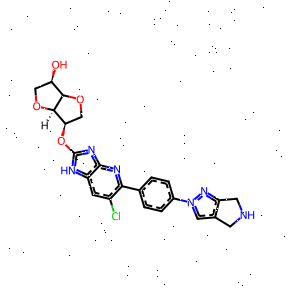 O[C@@H]1CO[C@H]2C1OC[C@H]2Oc1nc2nc(-c3ccc(-n4cc5c(n4)CNC5)cc3)c(Cl)cc2[nH]1